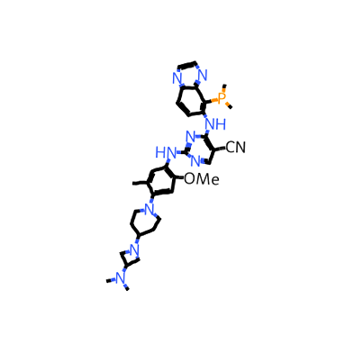 COc1cc(N2CCC(N3CC(N(C)C)C3)CC2)c(C)cc1Nc1ncc(C#N)c(Nc2ccc3nccnc3c2P(C)C)n1